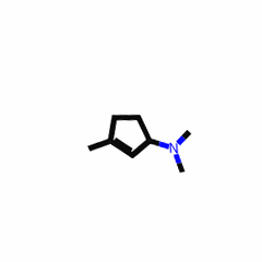 CC1=CC(N(C)C)CC1